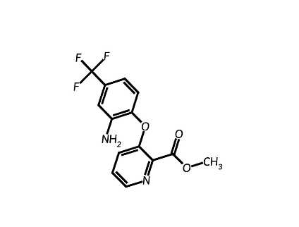 COC(=O)c1ncccc1Oc1ccc(C(F)(F)F)cc1N